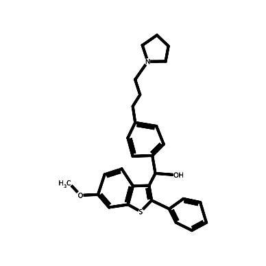 COc1ccc2c(C(O)c3ccc(CCCN4CCCC4)cc3)c(-c3ccccc3)sc2c1